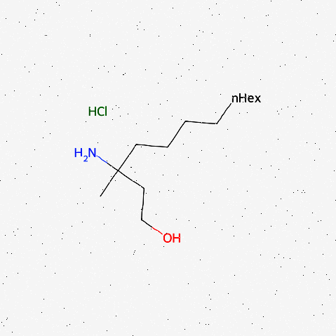 CCCCCCCCCCC(C)(N)CCO.Cl